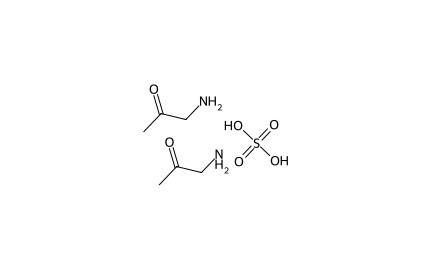 CC(=O)CN.CC(=O)CN.O=S(=O)(O)O